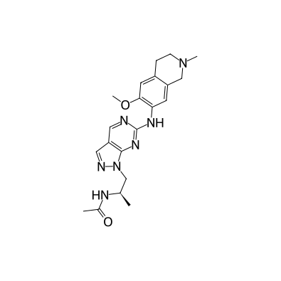 COc1cc2c(cc1Nc1ncc3cnn(C[C@@H](C)NC(C)=O)c3n1)CN(C)CC2